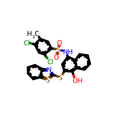 Cc1cc(S(=O)(=O)Nc2cc(Sc3nc4ccccc4s3)c(O)c3ccccc23)c(Cl)cc1Cl